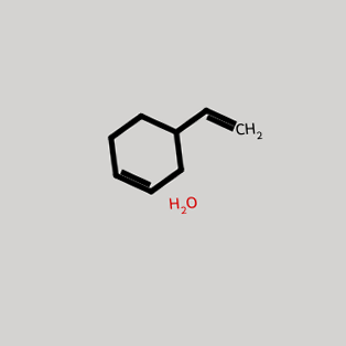 C=CC1CC=CCC1.O